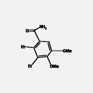 CCc1c(C(N)=O)cc(OC)c(OC)c1CC